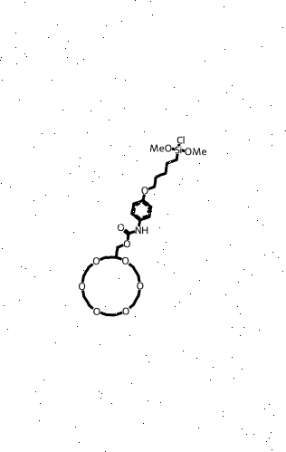 CO[Si](Cl)(CCCCCOc1ccc(NC(=O)OCC2COCCOCCOCCOCCOCCO2)cc1)OC